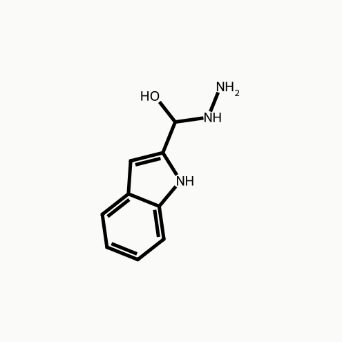 NNC(O)c1cc2ccccc2[nH]1